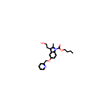 CCCCOC(=O)n1c(C)c(CCO)c2cc(OCc3ccccn3)ccc21